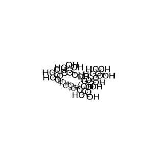 CC(C)(O)C1CC[C@H]([C@H]2CC[C@@]3(C)C4CC=C5C(CC[C@H](OC6OC(COC7OC(CO)C(O)C(O)C7O)C(O)C(O)C6O)C5(C)C)[C@]4(C)CC[C@]23C)OC2C(O)C(CO)OC(OC3C(OC(COC4OC(CO)C(O)C(O)C4O)C(O)C3O)O1)C2O